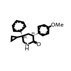 COc1ccc([C@H]2C[C@](c3ccccc3)(C3CC3)CNC2=O)cc1